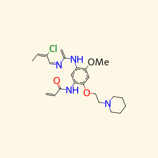 C=CC(=O)Nc1cc(NC(=C)/N=C\C(Cl)=C/C)c(OC)cc1OCCN1CCCCC1